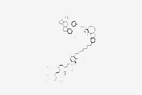 CCC[C@H](OC)[C@H](O)[C@@H](C)/C=C(\C)[C@H](OC(N)=O)[C@H](/C=C\CC(C)C(=O)NC1=CC(=O)C(CCCCCCCC(=O)c2ccc(CC3CCCCc4c(nnn4CCOc4ccc([C@H]5C[C@@]6(C)C(CC[C@@H]6O)C6CCc7cc(O)ccc7C65)cc4)C3(F)F)cc2)=C(C)C1=O)OC